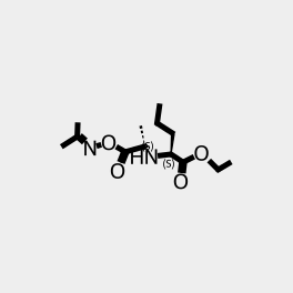 CCC[C@H](N[C@@H](C)C(=O)ON=C(C)C)C(=O)OCC